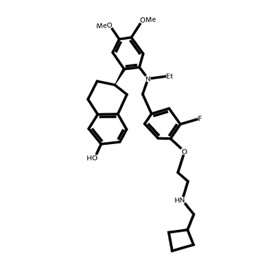 CCN(Cc1ccc(OCCNCC2CCC2)c(F)c1)c1cc(OC)c(OC)cc1[C@@H]1CCc2cc(O)ccc2C1